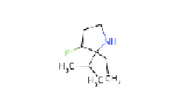 CCC1(C(C)C)NCCC1F